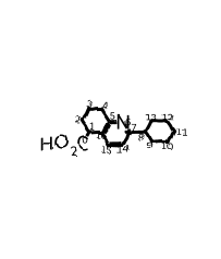 O=C(O)C1CCCc2nc(C3CCCCC3)ccc21